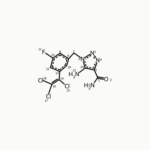 NC(=O)c1nnn(Cc2cc(F)cc(C(Cl)=C(Cl)Cl)c2)c1N